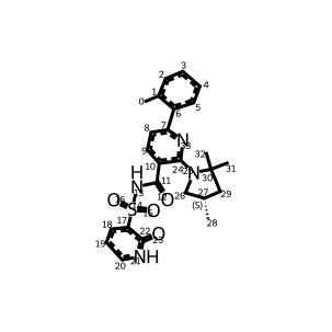 Cc1ccccc1-c1ccc(C(=O)NS(=O)(=O)c2ccc[nH]c2=O)c(N2C[C@@H](C)CC2(C)C)n1